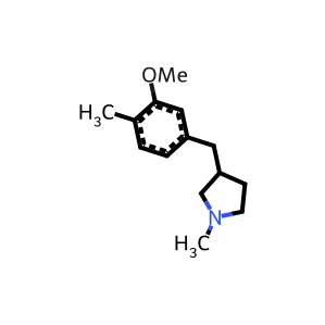 COc1cc(CC2CCN(C)C2)ccc1C